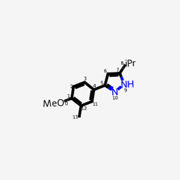 COc1ccc(-c2cc(C(C)C)[nH]n2)cc1C